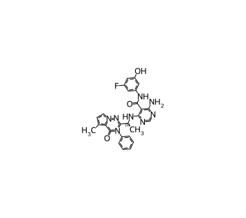 Cc1ccn2nc([C@H](C)Nc3ncnc(N)c3C(=O)Nc3cc(O)cc(F)c3)n(-c3ccccc3)c(=O)c12